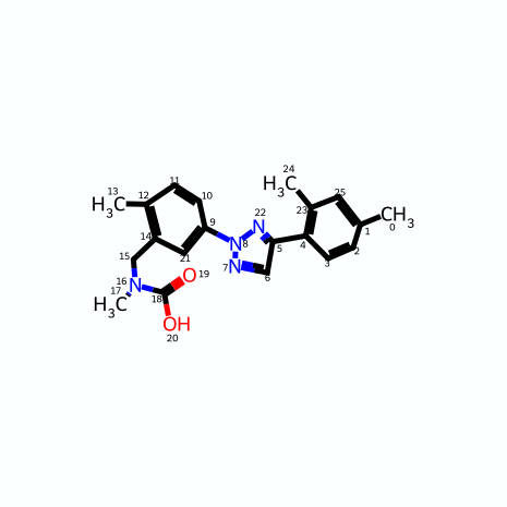 Cc1ccc(-c2cnn(-c3ccc(C)c(CN(C)C(=O)O)c3)n2)c(C)c1